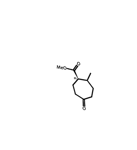 COC(=O)[C@@H]1CCC(=O)CCC1C